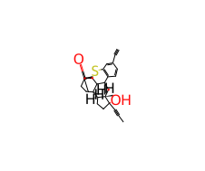 C#Cc1ccc2c(c1)S[C@]13CCC(=O)C=C1CC[C@@H]1[C@@H]3[C@@H]2C[C@@]2(C)[C@H]1CC[C@@]2(O)C#CC